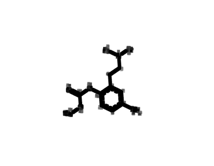 CCN(CC)CCc1cc(N)ccc1OC(=O)OC(C)(C)C